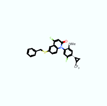 COc1cc([C@@H]2C[C@H]2C(F)(F)F)c(F)cc1-n1c(=O)cc(F)c2cc(SCc3ccccc3)ccc21